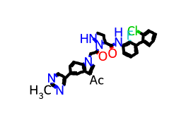 CC(=O)c1cn(CC(=O)N2NCCC2C(=O)Nc2cccc(-c3ccccc3Cl)c2F)c2ccc(-c3cnc(C)nc3)cc12